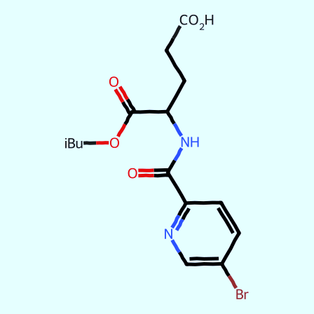 CCC(C)OC(=O)C(CCC(=O)O)NC(=O)c1ccc(Br)cn1